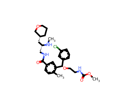 CN[C@H](CNC(=O)c1ccc(C)c([C@@H](OCCNC(=O)OC)c2cccc(Cl)c2)c1)C[C@H]1CCCOC1